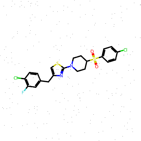 O=S(=O)(c1ccc(Cl)cc1)C1CCN(c2nc(Cc3ccc(Cl)c(F)c3)cs2)CC1